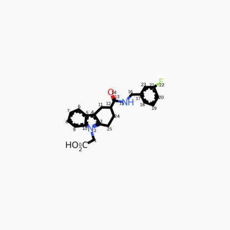 O=C(O)Cn1c2c(c3ccccc31)CC(C(=O)NCc1cccc(F)c1)CC2